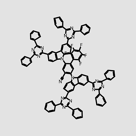 N#Cc1cc(-n2c3ccc(-c4nc(-c5ccccc5)nc(-c5ccccc5)n4)cc3c3cc(-c4nc(-c5ccccc5)nc(-c5ccccc5)n4)ccc32)c(-c2c(F)c(F)c(F)c(F)c2F)cc1-n1c2ccc(-c3nc(-c4ccccc4)nc(-c4ccccc4)n3)cc2c2cc(-c3nc(-c4ccccc4)nc(-c4ccccc4)n3)ccc21